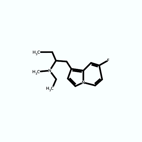 CCC(Cc1ccn2ccc(F)cc12)N(C)CC